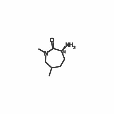 CC1CC[C@H](N)C(=O)N(C)C1